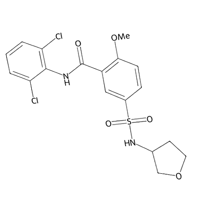 COc1ccc(S(=O)(=O)NC2CCOC2)cc1C(=O)Nc1c(Cl)cccc1Cl